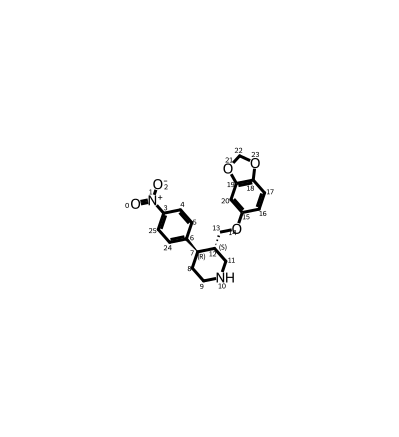 O=[N+]([O-])c1ccc([C@@H]2CCNC[C@H]2COc2ccc3c(c2)OCO3)cc1